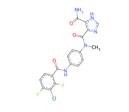 CN(C(=O)c1nc[nH]c1C(N)=O)c1ccc(NC(=O)c2ccc(F)c(Cl)c2F)cc1